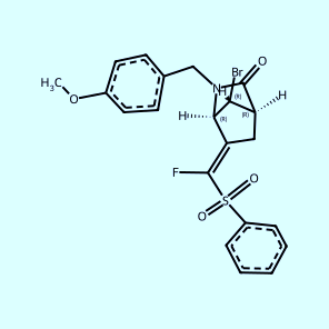 COc1ccc(CN2C(=O)[C@H]3CC(=C(F)S(=O)(=O)c4ccccc4)[C@@H]2[C@@H]3Br)cc1